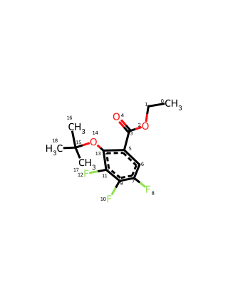 CCOC(=O)c1cc(F)c(F)c(F)c1OC(C)(C)C